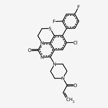 C=CC(=O)N1CCN(c2nc(=O)n3c4c(c(-c5ccc(F)cc5F)c(Cl)cc24)SCC3)CC1